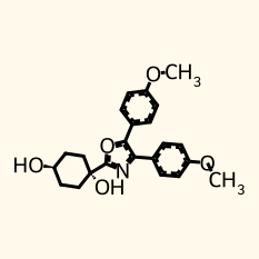 COc1ccc(-c2nc([C@]3(O)CC[C@H](O)CC3)oc2-c2ccc(OC)cc2)cc1